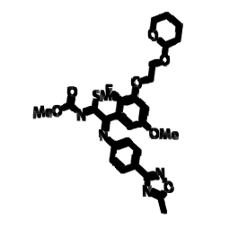 COC(=O)N=C(SC)C(=Nc1ccc(-c2noc(C)n2)cc1)c1cc(OC)cc(OCCOC2CCCCO2)c1F